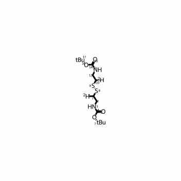 [2H]C(CNC(=O)OC(C)(C)C)SSC([2H])CNC(=O)OC(C)(C)C